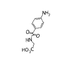 Nc1ccc(S(=O)(=O)NCC(=O)O)cc1